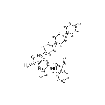 C=CC(=O)N1CCOC[C@@H]1CNc1nc(Nc2ccc(N3CCC(N4CCN(C)CC4)CC3)cc2)c(C(N)=O)nc1CC